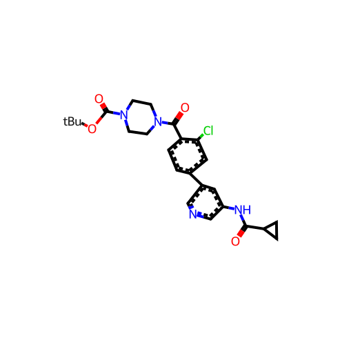 CC(C)(C)OC(=O)N1CCN(C(=O)c2ccc(-c3cncc(NC(=O)C4CC4)c3)cc2Cl)CC1